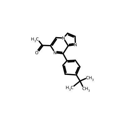 CC(=O)c1cn2ccnc2c(-c2ccc(C(C)(C)C)cc2)n1